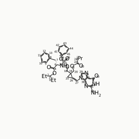 CCC(CC)OC(=O)[C@H](Cc1ccccc1)N[P@](=O)(OCC1(COC(=O)C(C)C)C/C1=C/n1cnc2c(=O)[nH]c(N)nc21)Oc1ccccc1